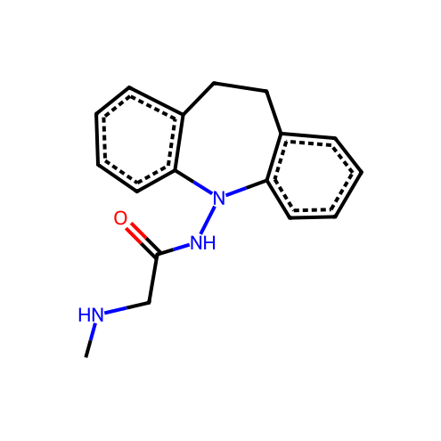 CNCC(=O)NN1c2ccccc2CCc2ccccc21